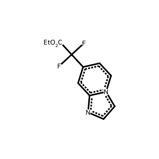 CCOC(=O)C(F)(F)c1ccn2ccnc2c1